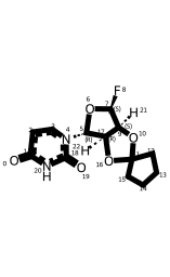 O=c1ccn([C@@H]2O[C@@H](F)[C@H]3OC4(CCCC4)O[C@H]32)c(=O)[nH]1